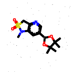 CN1c2cc(B3OC(C)(C)C(C)(C)O3)cnc2CS1(=O)=O